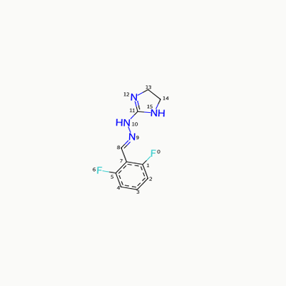 Fc1cccc(F)c1/C=N/NC1=NCCN1